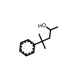 CC(O)CC(C)(C)c1ccccc1